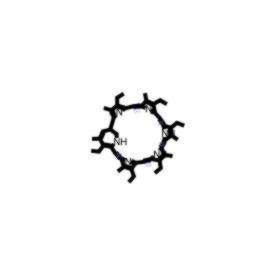 CCC1=C2/C=C3N=C(/C=c4\[nH]/c(c(C)c4CC)=c4\[nH]/c(c(CC)c4C)=C\C4=NC(=C\c5[nH]c(c(C)c5CC)C(C=C1C)CN2)/C(C)=C4CC)C(CC)=C\3C